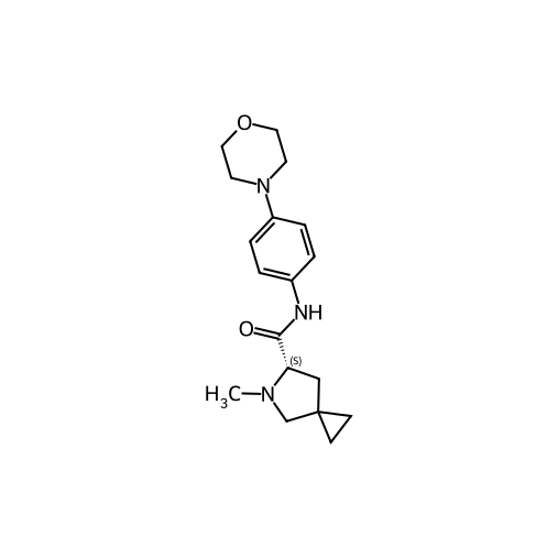 CN1CC2(CC2)C[C@H]1C(=O)Nc1ccc(N2CCOCC2)cc1